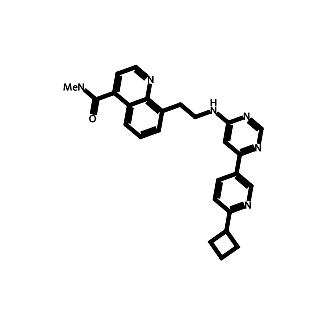 CNC(=O)c1ccnc2c(CCNc3cc(-c4ccc(C5CCC5)nc4)ncn3)cccc12